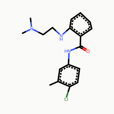 Cc1cc(NC(=O)c2ccccc2NCCN(C)C)ccc1Cl